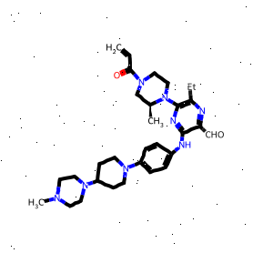 C=CC(=O)N1CCN(c2nc(Nc3ccc(N4CCC(N5CCN(C)CC5)CC4)cc3)c(C=O)nc2CC)[C@@H](C)C1